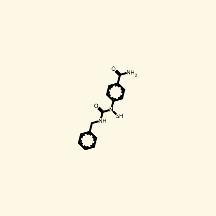 NC(=O)c1ccc(N(S)C(=O)NCc2ccccc2)cc1